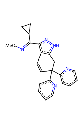 CON=C(c1n[nH]c2c1C=CC(c1ccccn1)(c1ccccn1)C2)C1CC1